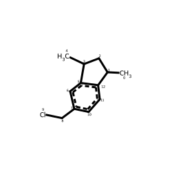 CC1CC(C)c2cc(CCl)ccc21